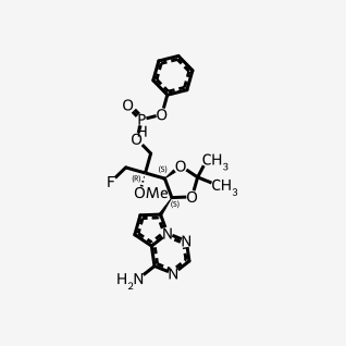 CO[C@](CF)(CO[PH](=O)Oc1ccccc1)[C@H]1OC(C)(C)O[C@H]1c1ccc2c(N)ncnn12